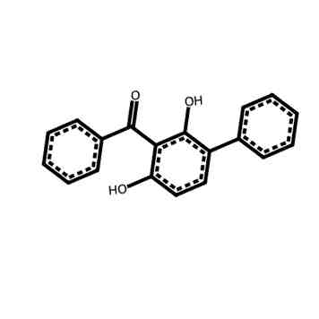 O=C(c1ccccc1)c1c(O)ccc(-c2ccccc2)c1O